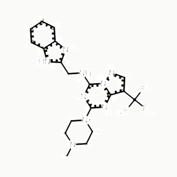 CN1CCN(c2nc(NCc3nc4ccccc4[nH]3)n3ncc(C(F)(F)F)c3n2)CC1